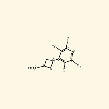 CCOC(=O)C1CN(c2c(F)c(F)nc(F)c2F)C1